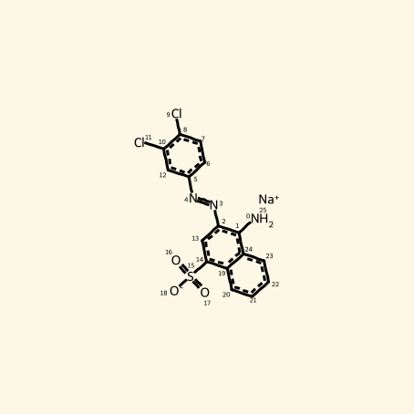 Nc1c(N=Nc2ccc(Cl)c(Cl)c2)cc(S(=O)(=O)[O-])c2ccccc12.[Na+]